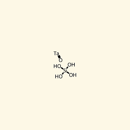 O[Si](O)(O)O.[O]=[Ta]